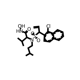 C=CC(c1ccc2ccccc2c1Cl)S(=O)(=O)N(CCC(C)C)C(C(=O)NO)C(C)C